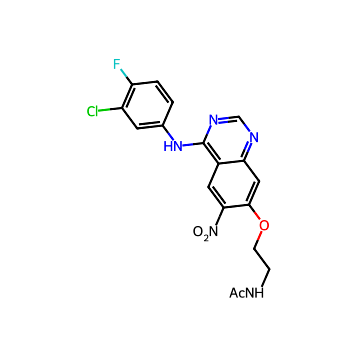 CC(=O)NCCOc1cc2ncnc(Nc3ccc(F)c(Cl)c3)c2cc1[N+](=O)[O-]